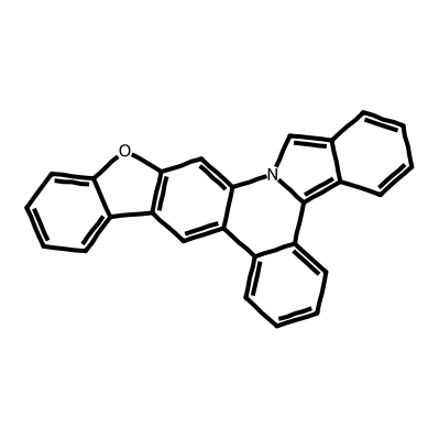 c1ccc2c(c1)cn1c3cc4oc5ccccc5c4cc3c3ccccc3c21